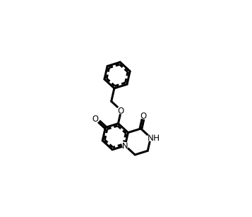 O=C1NCCn2ccc(=O)c(OCc3ccccc3)c21